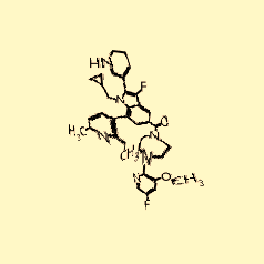 CCc1nc(C)ccc1-c1cc(C(=O)N2CCN(c3ncc(F)cc3OC)CC2)cc2c(F)c(C3=CCCNC3)n(CC3CC3)c12